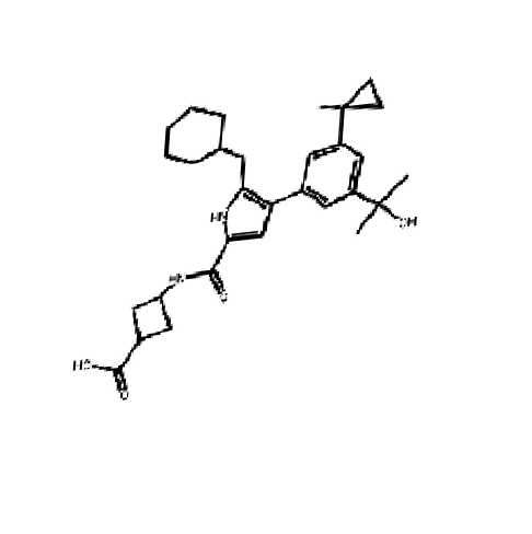 CC(C)(O)c1cc(-c2cc(C(=O)NC3CC(C(=O)O)C3)[nH]c2CC2CCCCC2)cc(C2(C)CC2)c1